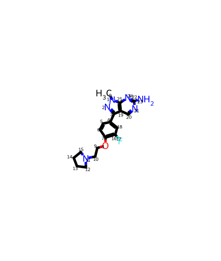 Cn1nc(-c2ccc(OCCN3CCCC3)c(F)c2)c2cnc(N)nc21